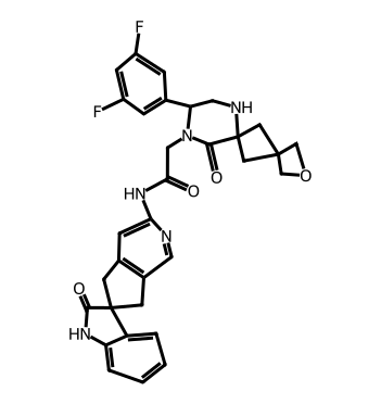 O=C(CN1C(=O)C2(CC3(COC3)C2)NCC1c1cc(F)cc(F)c1)Nc1cc2c(cn1)CC1(C2)C(=O)Nc2ccccc21